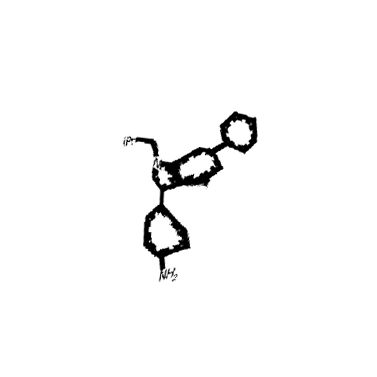 CC(C)Cn1cc(-c2ccc(N)cc2)c2ccc(-c3ccccc3)cc21